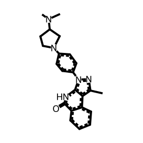 Cc1nn(-c2ccc(N3CCC(N(C)C)C3)cc2)c2[nH]c(=O)c3ccccc3c12